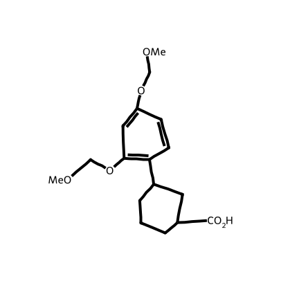 COCOc1ccc(C2CCCC(C(=O)O)C2)c(OCOC)c1